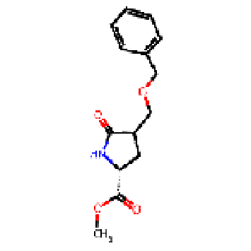 COC(=O)[C@H]1CC(COCc2ccccc2)C(=O)N1